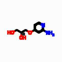 Nc1cc(OC[C@H](O)CO)ccn1